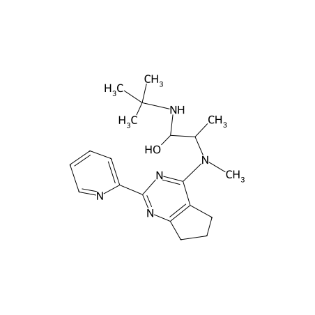 CC(C(O)NC(C)(C)C)N(C)c1nc(-c2ccccn2)nc2c1CCC2